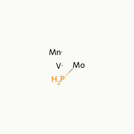 [Mn].[PH2][Mo].[V]